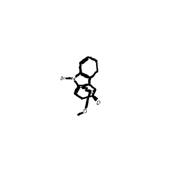 COC1=CC=CC23C(=CCC(=O)C2N1)N(Br)C1=C3CCC=C1